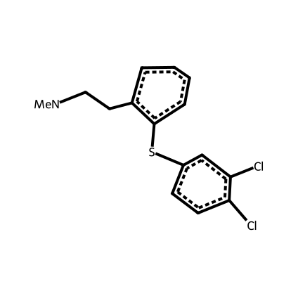 CNCCc1ccccc1Sc1ccc(Cl)c(Cl)c1